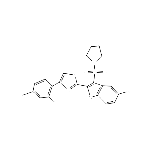 O=S(=O)(c1c(-c2nc(-c3ccc(F)cc3F)c[nH]2)[nH]c2ccc(Br)cc12)N1CCCC1